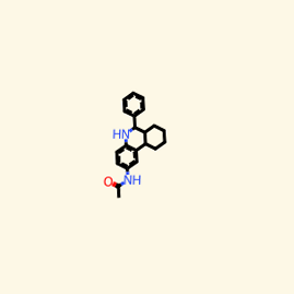 CC(=O)Nc1ccc2c(c1)C1CCCCC1C(c1ccccc1)N2